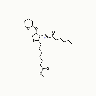 CCCCCC(=O)/C=C/C1C(OC2CCCCO2)CSC1CCCCCCC(=O)OC